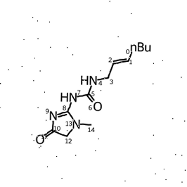 CCCC/C=C/CNC(=O)NC1=NC(=O)CN1C